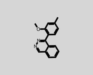 COc1cc(C)ccc1-c1nncc2ccccc12